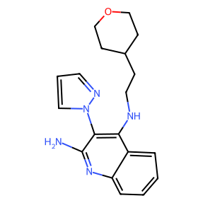 Nc1nc2ccccc2c(NCCC2CCOCC2)c1-n1cccn1